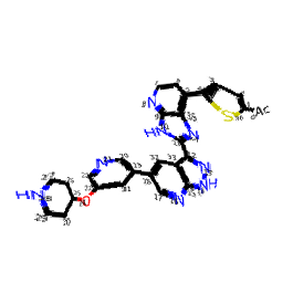 CC(=O)c1ccc(-c2ccnc3[nH]c(-c4n[nH]c5ncc(-c6cncc(OC7CCNCC7)c6)cc45)nc23)s1